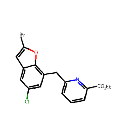 CCOC(=O)c1cccc(Cc2cc(Cl)cc3cc(C(C)C)oc23)n1